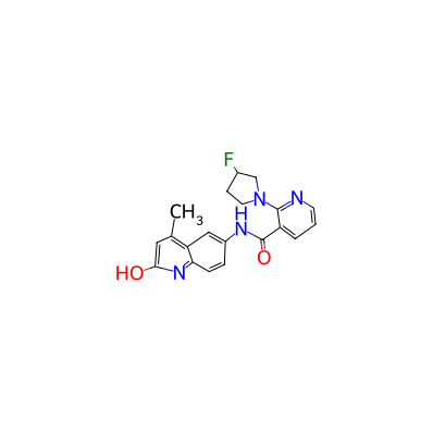 Cc1cc(O)nc2ccc(NC(=O)c3cccnc3N3CCC(F)C3)cc12